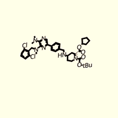 CN(C)c1ncc(-c2ccc(CNC3CCN(C(=O)OC(C)(C)C)[C@@H](C(=O)OC4CCCC4)C3)cc2)nc1N(C)Cc1c(Cl)cccc1Cl